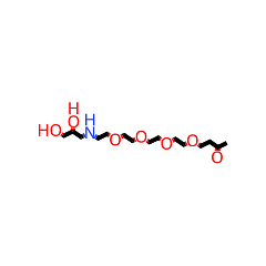 CC(=O)CCOCCOCCOCCOCCNCC(O)CO